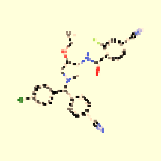 CCOC1CN([C@H](c2ccc(Cl)cc2)c2ccc(C#N)cc2)CC1NC(=O)c1ccc(C#N)cc1F